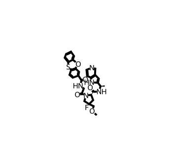 COC[C@@]1(F)C[C@@H](C(=O)N[C@H](C)c2cc3cnccc3[nH]2)N(C(=O)CNC(=O)c2ccc3c(c2)Oc2ccccc2S3)C1